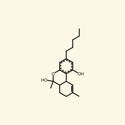 CCCCCc1cc(O)c2c(c1)OC(C)(O)C1CCC(C)=CC21